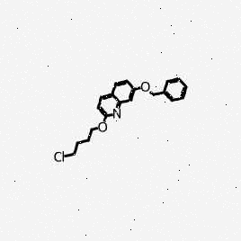 ClCCCCOc1ccc2ccc(OCc3ccccc3)cc2n1